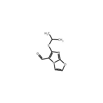 CC(C)Sc1nc2occn2c1C=O